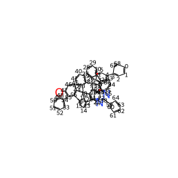 c1ccc(-c2cccc(-c3cc(-c4cccc5c4C4(c6ccccc6C6(c7ccccc7-c7ccccc76)c6ccccc64)c4ccc6oc7ccccc7c6c4-5)nc(-c4ccccc4)n3)c2)cc1